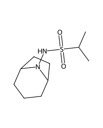 CC(C)S(=O)(=O)NN1C2CCCC1CC2